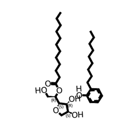 CCCCCCCCCCCC(=O)O[C@H](CO)[C@H]1OC[C@H](O)[C@H]1O.CCCCCCCCCc1ccccc1O